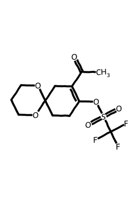 CC(=O)C1=C(OS(=O)(=O)C(F)(F)F)CCC2(C1)OCCCO2